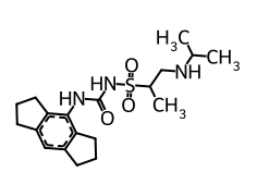 CC(C)NCC(C)S(=O)(=O)NC(=O)Nc1c2c(cc3c1CCC3)CCC2